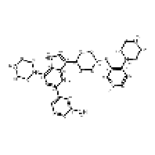 Oc1cccc(-c2nc(N3CCOCC3)c3[nH]cc(C4CCN(Cc5cnccc5N5CCOCC5)CC4)c3n2)c1